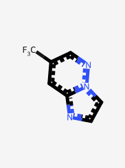 FC(F)(F)c1cnn2ccnc2c1